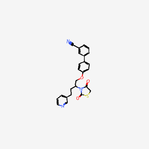 N#Cc1cccc(-c2ccc(OCC(CCc3cccnc3)N3C(=O)CSC3=O)cc2)c1